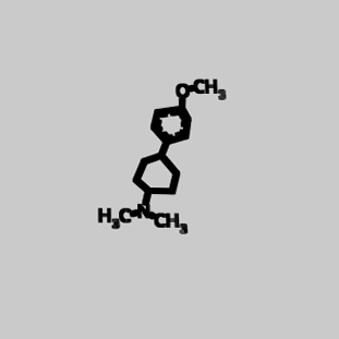 COc1ccc(C2CCC(N(C)C)CC2)cc1